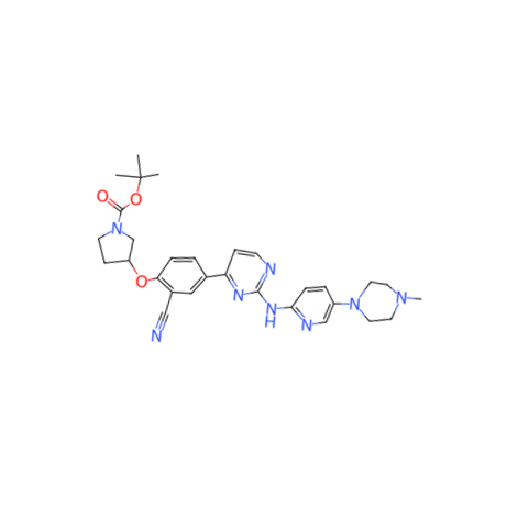 CN1CCN(c2ccc(Nc3nccc(-c4ccc(OC5CCN(C(=O)OC(C)(C)C)C5)c(C#N)c4)n3)nc2)CC1